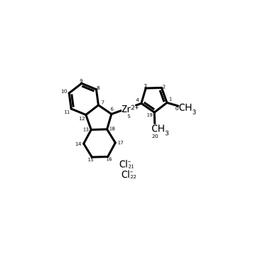 CC1=CC[C]([Zr+2][CH]2C3C=CC=CC3C3CCCCC32)=C1C.[Cl-].[Cl-]